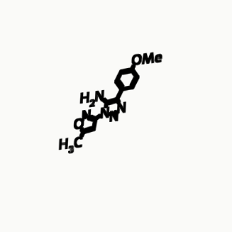 COc1ccc(-c2nnn(-c3cc(C)on3)c2N)cc1